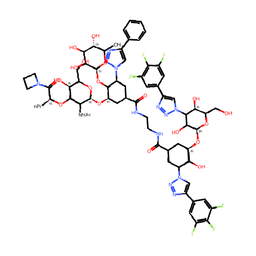 CCC[C@H](OC1C(NC(C)=O)[C@H](O[C@@H]2CC(C(=O)NCCNC(=O)C3CC(n4cc(-c5cc(F)c(F)c(F)c5)nn4)C(O)[C@H](O[C@@H]4OC(CO)[C@H](O)C(n5cc(-c6cc(F)c(F)c(F)c6)nn5)C4O)C3)CC(n3cc(-c4ccccc4)nn3)C2O[C@@H]2OC(C)[C@@H](O)C(O)C2O)OC(CO)[C@@H]1O)C(=O)N1CCC1